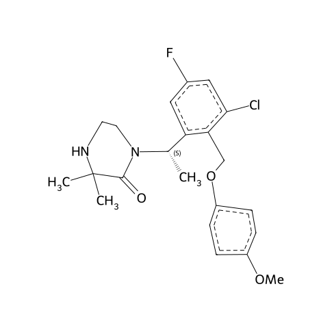 COc1ccc(OCc2c(Cl)cc(F)cc2[C@H](C)N2CCNC(C)(C)C2=O)cc1